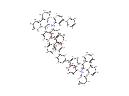 c1ccc(-c2cccc(N(c3ccc(-c4ccc(-c5cccc(-c6ccc(-c7c(N(c8ccccc8)c8ccccc8)c8ccccc8c8ccccc78)cc6)c5)cc4)cc3)c3c(-c4ccc(-c5ccccc5-c5ccccc5)cc4)c4ccccc4c4ccccc34)c2)cc1